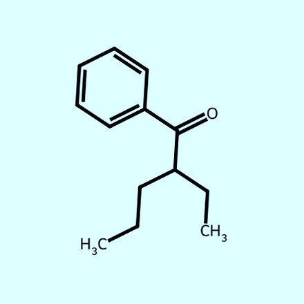 CCCC(CC)C(=O)c1ccccc1